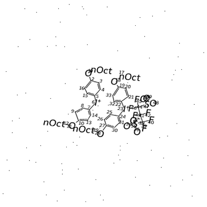 CCCCCCCCOc1ccc([I+]c2ccc(OCCCCCCCC)cc2)cc1.CCCCCCCCOc1ccc([I+]c2ccc(OCCCCCCCC)cc2)cc1.O=S(=O)([O-])C(F)(F)C(F)(F)C(F)(F)S(=O)(=O)[O-]